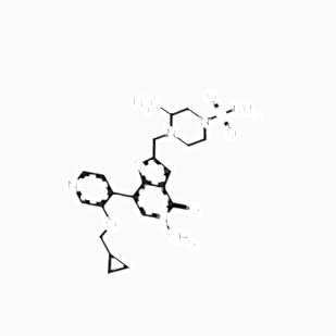 CC1CN(S(C)(=O)=O)CCN1Cc1cc2c(=O)n(C)cc(-c3ccncc3OCC3CC3)c2s1